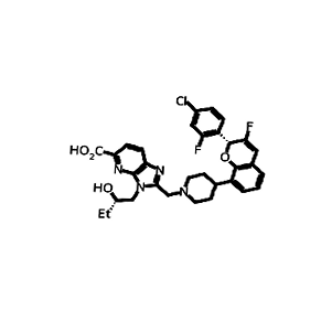 CC[C@H](O)Cn1c(CN2CCC(c3cccc4c3O[C@H](c3ccc(Cl)cc3F)C(F)=C4)CC2)nc2ccc(C(=O)O)nc21